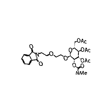 CNC(=O)O[C@@H]1[C@@H](OCCOCCN2C(=O)c3ccccc3C2=O)O[C@H](COC(C)=O)[C@@H](OC(C)=O)[C@@H]1OC(C)=O